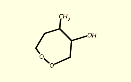 CC1CCOOCC1O